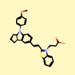 COc1ccc(N2c3ccc(/C=C/c4sc5ccccc5[n+]4CCC(=O)O)cc3C3CCCC32)cc1